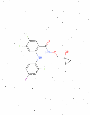 O=C(NOCC1(O)CC1)c1cc(F)c(F)cc1Nc1ccc(I)cc1F